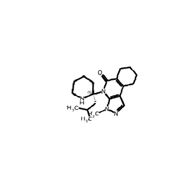 CC(C)C[C@@]1(n2c(=O)c3c(c4cnn(C)c42)CCCC3)CCCCN1